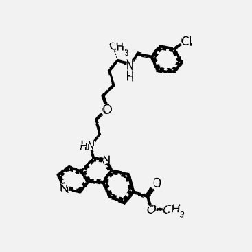 COC(=O)c1ccc2c(c1)nc(NCCOCCC[C@H](C)NCc1cccc(Cl)c1)c1ccncc12